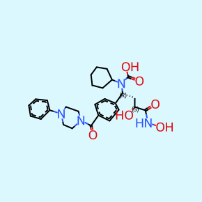 O=C(NO)[C@@H](O)C[C@H](c1ccc(C(=O)N2CCN(c3ccccc3)CC2)cc1)N(C(=O)O)C1CCCCC1